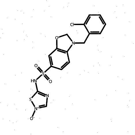 O=S(=O)(Nc1nc[n+]([O-])s1)c1ccc2c(c1)OCN2Cc1ccccc1Cl